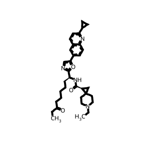 CCC(=O)CCCCC[C@H](NC(=O)[C@H]1CC12CCN(CC)CC2)c1ncc(-c2ccc3nc(C4CC4)ccc3c2)o1